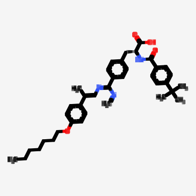 C=N/C(=N\C=C(/C)c1ccc(OCCCCCCC)cc1)c1ccc(C[C@@H](NC(=O)c2ccc(C(C)(C)C)cc2)C(=O)O)cc1